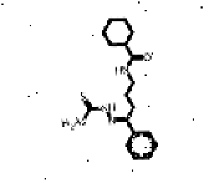 O=C(NCCCC(=NNC(=S)[AsH2])c1ccccc1)C1CCCCC1